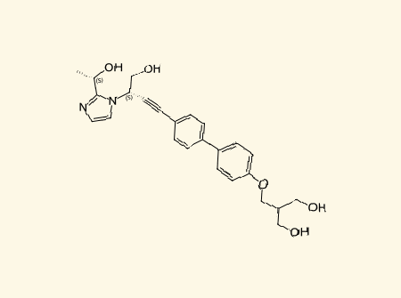 C[C@H](O)c1nccn1[C@@H](C#Cc1ccc(-c2ccc(OCC(CO)CO)cc2)cc1)CO